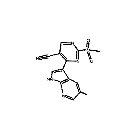 Cc1cnc2[nH]cc(-c3nc(S(C)(=O)=O)ncc3C#N)c2c1